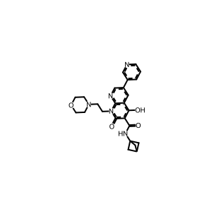 O=C(NC12CC(C1)C2)c1c(O)c2cc(-c3cccnc3)cnc2n(CCN2CCOCC2)c1=O